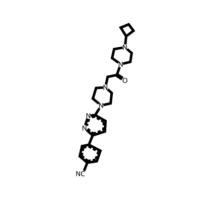 N#Cc1ccc(-c2ccc(N3CCN(CC(=O)N4CCN(C5CCC5)CC4)CC3)nn2)cc1